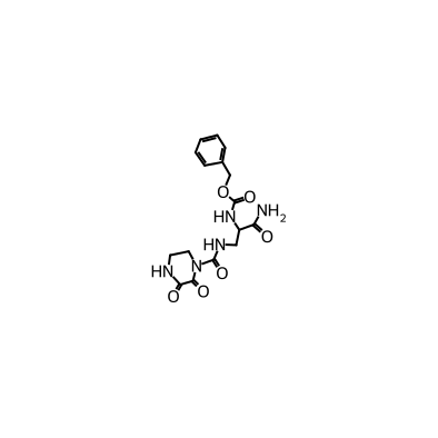 NC(=O)C(CNC(=O)N1CCNC(=O)C1=O)NC(=O)OCc1ccccc1